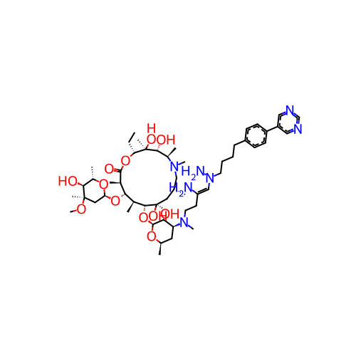 CC[C@H]1OC(=O)[C@H](C)[C@@H](O[C@H]2C[C@@](C)(OC)[C@@H](O)[C@H](C)O2)[C@H](C)[C@@H](O[C@@H]2O[C@H](C)C[C@H](N(C)CC/C(N)=C/N(N)CCCCc3ccc(-c4cncnc4)cc3)[C@H]2O)[C@](C)(O)C[C@@H](C)CN(C)[C@H](C)[C@@H](O)[C@]1(C)O